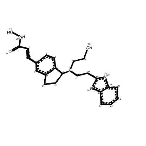 O=C(C=Cc1ccc2c(c1)CCC2N(CCO)CCc1nc2ccccc2[nH]1)NO